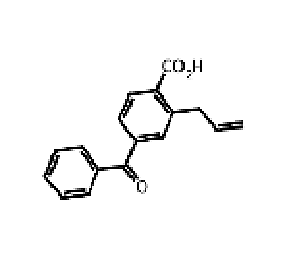 C=CCc1cc(C(=O)c2ccccc2)ccc1C(=O)O